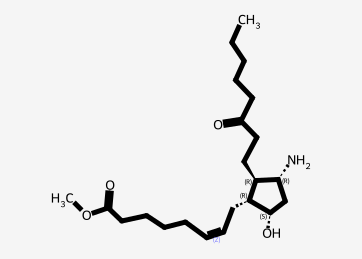 CCCCCC(=O)CC[C@@H]1[C@@H](C/C=C\CCCCC(=O)OC)[C@@H](O)C[C@H]1N